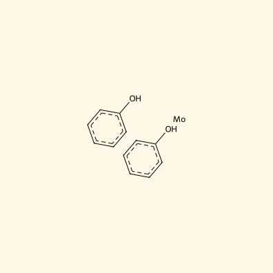 Oc1ccccc1.Oc1ccccc1.[Mo]